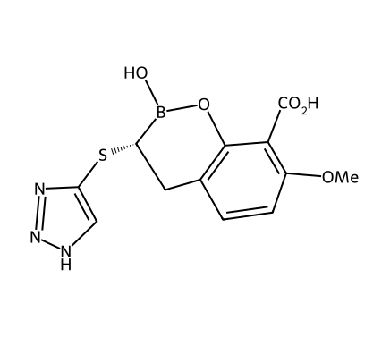 COc1ccc2c(c1C(=O)O)OB(O)[C@@H](Sc1c[nH]nn1)C2